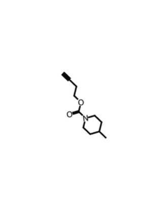 C#CCCOC(=O)N1CCC(C)CC1